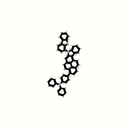 c1ccc(N(c2ccccc2)c2ccc(-c3ccc4ccc5c6c(ccc3c46)cc3c5c4ccccc4n3-c3cccc4c3sc3ccccc34)cc2)cc1